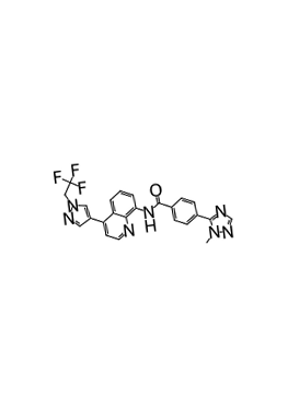 Cn1ncnc1-c1ccc(C(=O)Nc2cccc3c(-c4cnn(CC(F)(F)F)c4)ccnc23)cc1